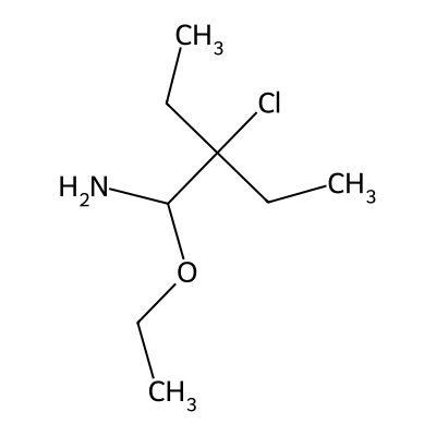 CCOC(N)C(Cl)(CC)CC